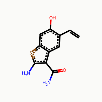 C=Cc1cc2c(C(N)=O)c(N)sc2cc1O